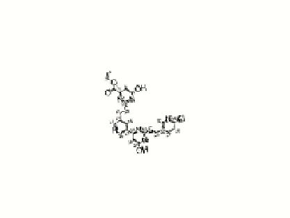 CCOC(=O)c1cc(O)nc(SCc2cncc(-c3cc(O)nc(SCc4ccc(Cl)nc4)n3)c2)n1